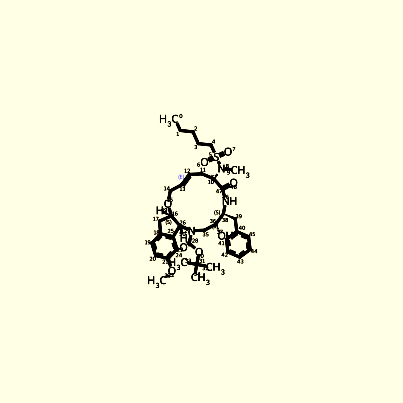 CCCCCS(=O)(=O)N(C)[C@H]1C/C=C/CO[C@H]2Cc3ccc(OC)cc3[C@H]2N(C(=O)OC(C)(C)C)C[C@@H](O)[C@H](Cc2ccccc2)NC1=O